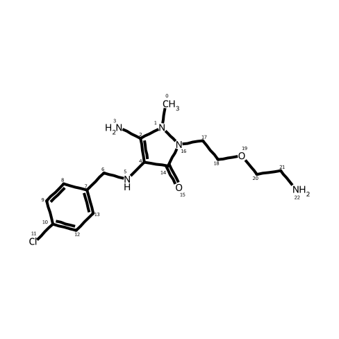 Cn1c(N)c(NCc2ccc(Cl)cc2)c(=O)n1CCOCCN